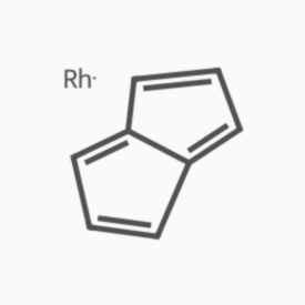 C1=CC2=CC=CC2=C1.[Rh]